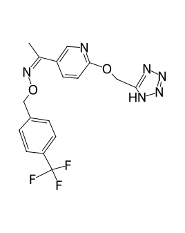 CC(=NOCc1ccc(C(F)(F)F)cc1)c1ccc(OCc2nnn[nH]2)nc1